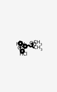 CCC(CCc1ccc(P(=O)(c2ccccc2)c2ccccc2)c(N)c1)C(=O)OC.Cl